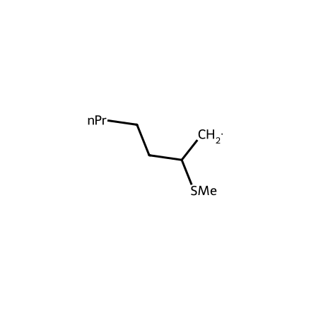 [CH2]C(CCCCC)SC